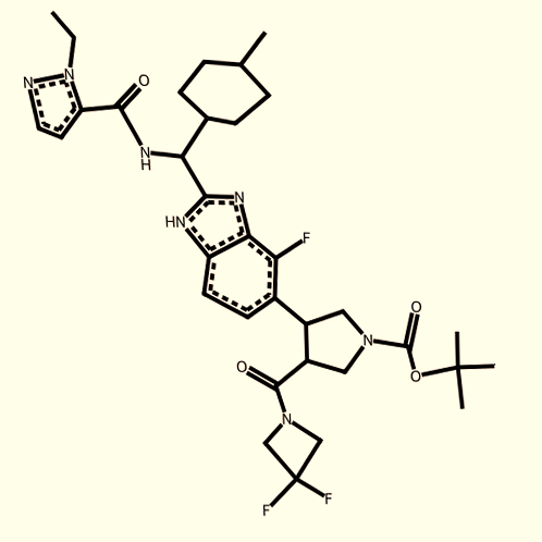 CCn1nccc1C(=O)NC(c1nc2c(F)c(C3CN(C(=O)OC(C)(C)C)CC3C(=O)N3CC(F)(F)C3)ccc2[nH]1)C1CCC(C)CC1